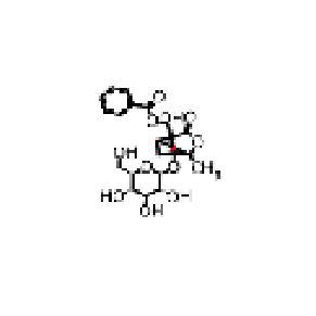 CC12CC(O)C3CC1(O[C@@H]1O[C@H](CO)[C@@H](O)[C@H](O)[C@H]1O)C3(COC(=O)c1ccccc1)C(=O)O2